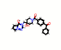 O=C(c1ccccc1)c1ccc(C(=O)N2CCC(O)(Cn3cnn4cccc4c3=O)CC2)cc1